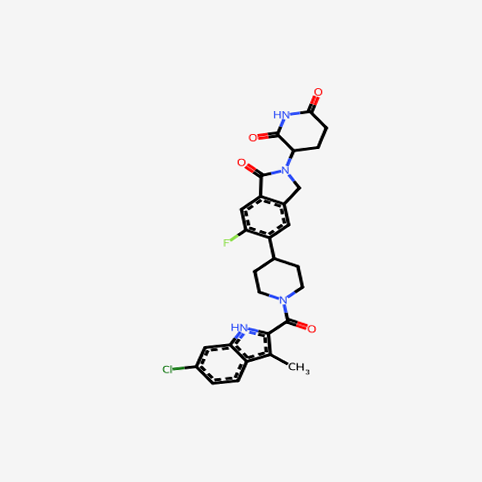 Cc1c(C(=O)N2CCC(c3cc4c(cc3F)C(=O)N(C3CCC(=O)NC3=O)C4)CC2)[nH]c2cc(Cl)ccc12